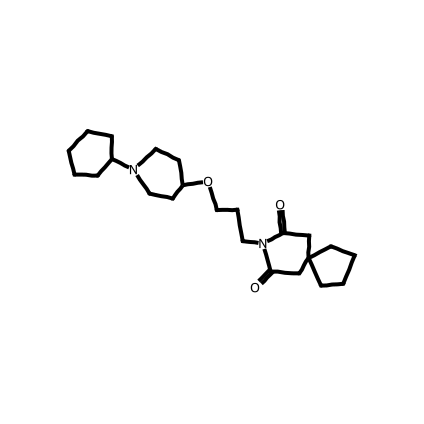 O=C1CC2(CCCC2)CC(=O)N1CCCOC1CCN(C2CCCCC2)CC1